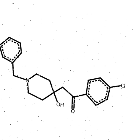 O=C(CC1(O)CCN(Cc2ccccc2)CC1)c1ccc(Cl)cc1